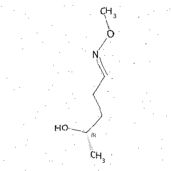 CON=CCC[C@H](C)O